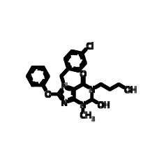 CN1c2nc(Oc3ccccc3)n(Cc3ccc(Cl)cc3)c2C(=O)N(CCCO)C1O